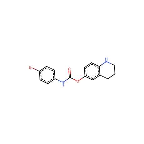 O=C(Nc1ccc(Br)cc1)Oc1ccc2c(c1)CCCN2